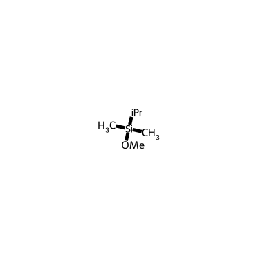 CO[Si](C)(C)C(C)C